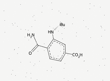 CC[C@@H](C)Nc1cc(C(=O)O)ccc1C(N)=O